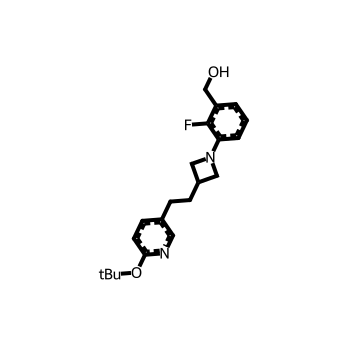 CC(C)(C)Oc1ccc(CCC2CN(c3cccc(CO)c3F)C2)cn1